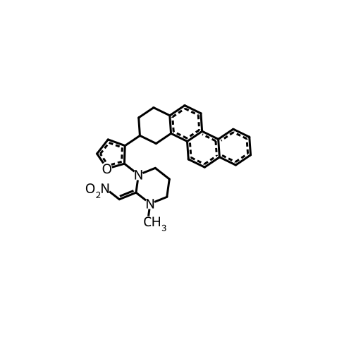 CN1CCCN(c2occc2C2CCc3ccc4c(ccc5ccccc54)c3C2)C1=C[N+](=O)[O-]